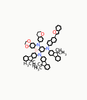 CC1(C)c2ccccc2-c2ccc(N(c3cc4c5c(c3)N(c3ccc6c(c3)C(C)(C)c3ccccc3-6)c3cc6c(cc3B5c3cc5c(cc3N4c3ccc4c(c3)CCCO4)OCCO5)-c3ccccc3C6(C)C)c3ccc4cc(-c5cc6ccccc6o5)ccc4c3)cc21